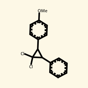 COc1ccc(C2C(c3c[c]ccc3)C2(Cl)Cl)cc1